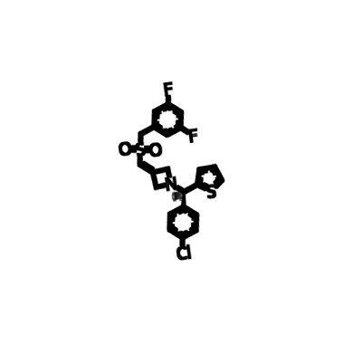 O=S(=O)(C=C1CN([C@H](c2ccc(Cl)cc2)c2cccs2)C1)Cc1cc(F)cc(F)c1